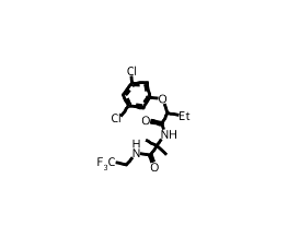 CCC(Oc1cc(Cl)cc(Cl)c1)C(=O)NC(C)(C)C(=O)NCC(F)(F)F